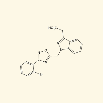 O=C(O)Cc1nn(Cc2nc(-c3ccccc3Br)no2)c2ccccc12